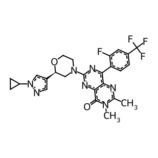 Cc1nc2c(-c3ccc(C(F)(F)F)cc3F)nc(N3CCO[C@H](c4cnn(C5CC5)c4)C3)nc2c(=O)n1C